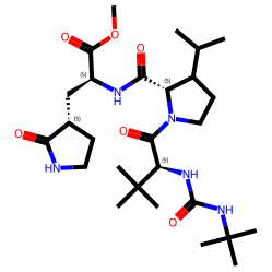 COC(=O)[C@H](C[C@@H]1CCNC1=O)NC(=O)[C@@H]1C(C(C)C)CCN1C(=O)[C@@H](NC(=O)NC(C)(C)C)C(C)(C)C